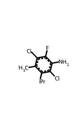 Cc1c(Cl)c(F)c(N)c(Cl)c1C(C)C